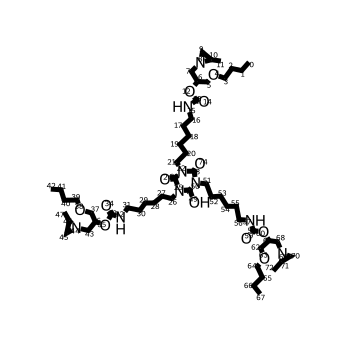 CCCCOCC(CN1CC1C)OC(=O)NCCCCCCN1C(=O)N(CCCCCCNC(=O)OC(COCCCC)CN2CC2C)C(O)N(CCCCCCNC(=O)OC(COCCCC)CN2CC2C)C1=O